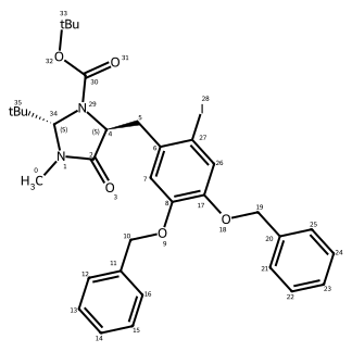 CN1C(=O)[C@H](Cc2cc(OCc3ccccc3)c(OCc3ccccc3)cc2I)N(C(=O)OC(C)(C)C)[C@H]1C(C)(C)C